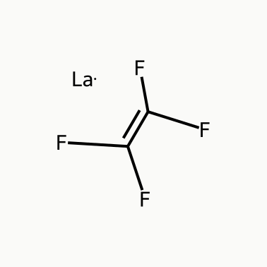 FC(F)=C(F)F.[La]